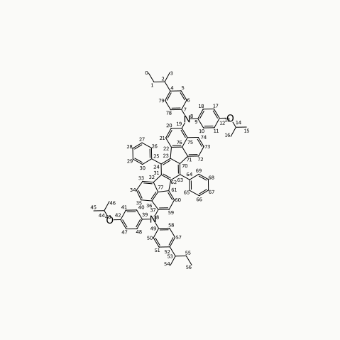 CCC(C)c1ccc(N(c2ccc(OC(C)C)cc2)c2ccc3c4c(-c5ccccc5)c5c6cccc7c(N(c8ccc(OC(C)C)cc8)c8ccc(C(C)CC)cc8)ccc(c5c(-c5ccccc5)c4c4cccc2c43)c76)cc1